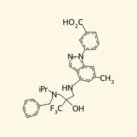 Cc1cc(NCC(O)(CN(Cc2ccccc2)C(C)C)C(F)(F)F)c2cnn(-c3cccc(C(=O)O)c3)c2c1